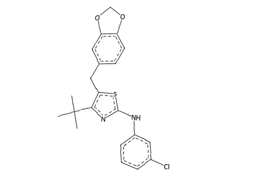 CC(C)(C)c1nc(Nc2cccc(Cl)c2)sc1Cc1ccc2c(c1)OCO2